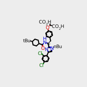 CCCCn1cc(-c2ccc(Cl)cc2Cl)nc1[C@H](Cc1ccc(OC(C(=O)O)C(=O)O)cc1)NC(=O)C1CCC(C(C)(C)C)CC1